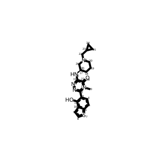 Cn1c(-c2ccc3sccc3c2O)nnc(N[C@@H]2CCCN(CC3CC3)C2)c1=O